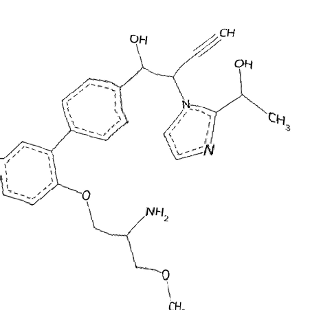 C#CC(C(O)c1ccc(-c2ccccc2OCC(N)COC)cc1)n1ccnc1C(C)O